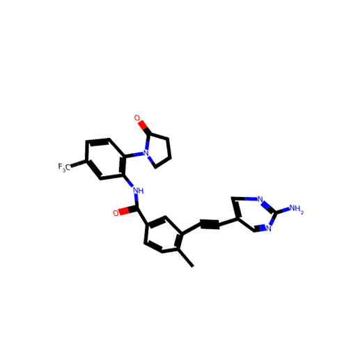 Cc1ccc(C(=O)Nc2cc(C(F)(F)F)ccc2N2CCCC2=O)cc1C#Cc1cnc(N)nc1